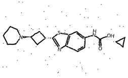 C1CC1.O=C(O)Nc1ccc2nc([C@H]3C[C@H](N4CCCCC4)C3)sc2c1